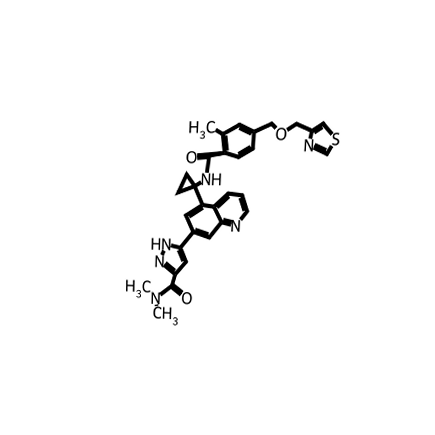 Cc1cc(COCc2cscn2)ccc1C(=O)NC1(c2cc(-c3cc(C(=O)N(C)C)n[nH]3)cc3ncccc23)CC1